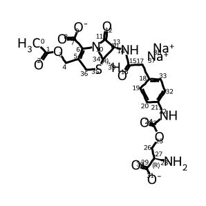 CC(=O)OCC1=C(C(=O)[O-])N2C(=O)[C@@H](NC(=O)Cc3ccc(NC(=O)OC[C@@H](N)C(=O)[O-])cc3)[C@H]2SC1.[Na+].[Na+]